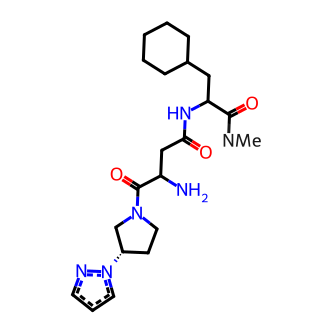 CNC(=O)C(CC1CCCCC1)NC(=O)CC(N)C(=O)N1CC[C@H](n2cccn2)C1